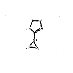 C1CSC([SiH]2OO2)=N1